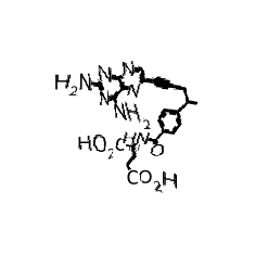 CC(CC#Cc1cnc2nc(N)nc(N)c2n1)c1ccc(C(=O)N[C@@H](CCC(=O)O)C(=O)O)cc1